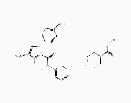 CCOC(=O)c1nn(-c2ccc(OC)cc2)c2c1CCN(c1cccc(CCN3CCN(C(=O)OC(C)(C)C)CC3)c1)C2=O